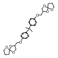 CC(C)(c1ccc(OCC2COC3(CCCO3)O2)cc1)c1ccc(OCC2COC3(CCCO3)O2)cc1